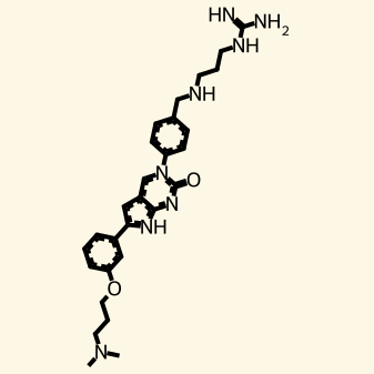 CN(C)CCCOc1cccc(-c2cc3cn(-c4ccc(CNCCCNC(=N)N)cc4)c(=O)nc3[nH]2)c1